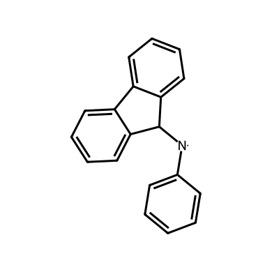 c1ccc([N]C2c3ccccc3-c3ccccc32)cc1